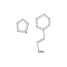 CC(=O)OC=Cc1ccccc1.c1ccsc1